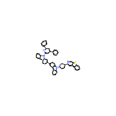 c1ccc(-c2cc(-c3ccccc3)nc(-n3c4ccccc4c4ccc(-c5ccc6c(c5)c5ccccc5n6-c5ccc(-c6cc7c(cn6)sc6ccccc67)cc5)cc43)c2)cc1